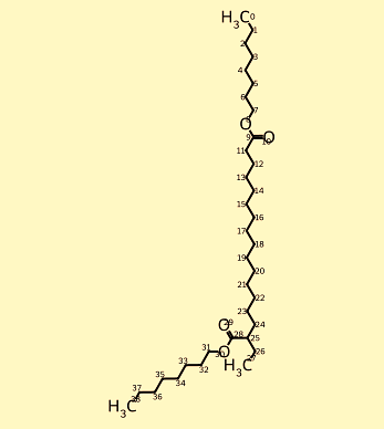 CCCCCCCCOC(=O)CCCCCCCCCCCCCCC(CC)C(=O)OCCCCCCCC